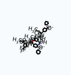 COC(=O)c1cc(C(F)(F)F)cnc1Nc1nc(-c2ccc([S+]([O-])c3ccccc3)c(/C=C(/O)c3cc(C(F)(F)F)cnc3Nc3nc(-c4ccc([S+]([O-])c5ccccc5)cc4)c(CC(C)C)s3)c2)c(CC(C)C)s1